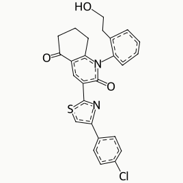 O=C1CCCc2c1cc(-c1nc(-c3ccc(Cl)cc3)cs1)c(=O)n2-c1ccccc1CCO